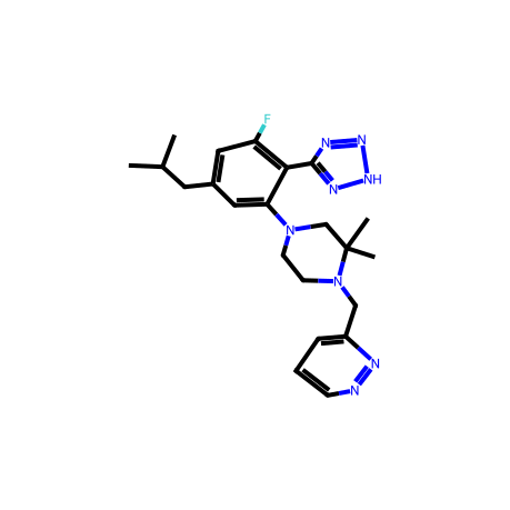 CC(C)Cc1cc(F)c(-c2nn[nH]n2)c(N2CCN(Cc3cccnn3)C(C)(C)C2)c1